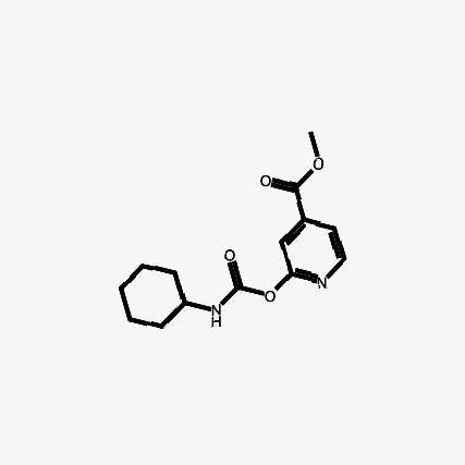 COC(=O)c1ccnc(OC(=O)NC2CCCCC2)c1